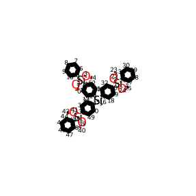 CO[Si](OC)(c1ccccc1)c1ccc([Si](C)(c2ccc([Si](OC)(OC)c3ccccc3)cc2)c2ccc([Si](OC)(OC)c3ccccc3)cc2)cc1